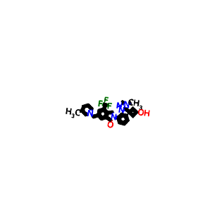 C[C@H]1CCCN(Cc2cc3c(c(C(F)(F)F)c2)CN(c2cccc([C@]4(c5nncn5C)C[C@@H](O)C4)c2)C3=O)C1